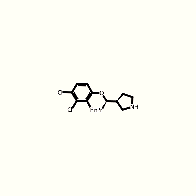 CCC[C@@H](Oc1ccc(Cl)c(Cl)c1F)[C@H]1CCNC1